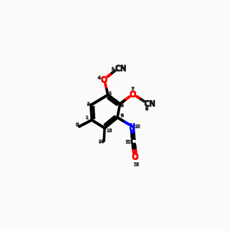 Cc1cc(OC#N)c(OC#N)c(N=C=O)c1C